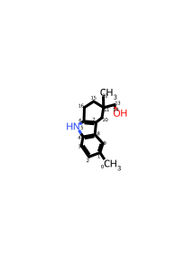 Cc1ccc2[nH]c3c(c2c1)CC(C)(CO)CC3